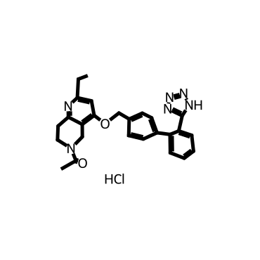 CCc1cc(OCc2ccc(-c3ccccc3-c3nnn[nH]3)cc2)c2c(n1)CCN(C(C)=O)C2.Cl